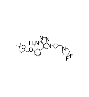 CC1(C)CCC(COc2cccc(-c3cn(C4CC(CN5CCC(F)(F)CC5)C4)c4ncnc(N)c34)c2)O1